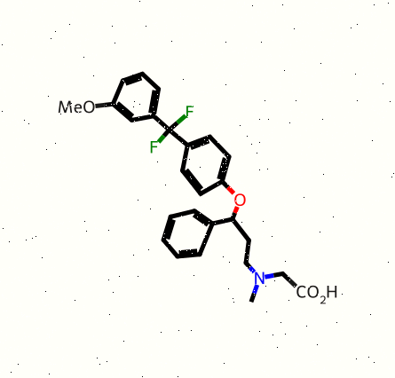 COc1cccc(C(F)(F)c2ccc(OC(CCN(C)CC(=O)O)c3ccccc3)cc2)c1